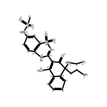 CC(C)CCC1(NCC(C)C)C(=O)C(C2=NS(=O)(=O)c3cc(NS(C)(=O)=O)ccc3N2)=C(O)c2ccccc21